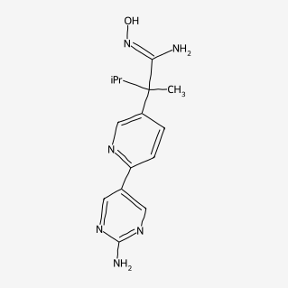 CC(C)C(C)(/C(N)=N/O)c1ccc(-c2cnc(N)nc2)nc1